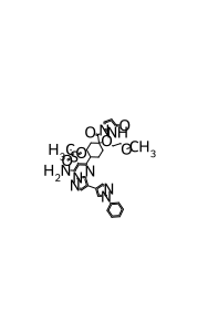 COCCOC1(C(=O)n2ccc(=O)[nH]2)CCC(c2nc3c(-c4cnn(-c5ccccc5)c4)cnn3c(N)c2S(C)(=O)=O)CC1